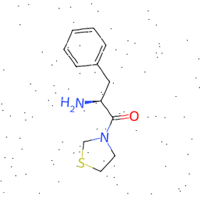 N[C@@H](Cc1ccccc1)C(=O)N1CCSC1